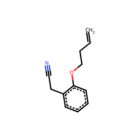 C=CCCOc1ccccc1CC#N